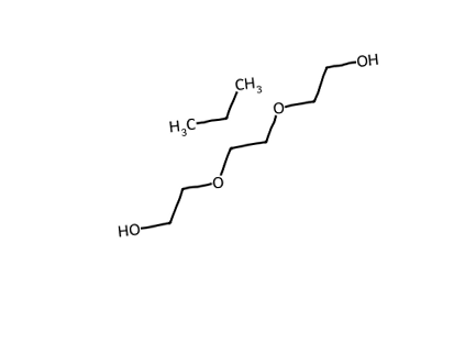 CCC.OCCOCCOCCO